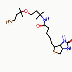 CC(C)(CCOC(C)(C)CCS)NC(=O)CCCCC1SCC2NC(=O)NC21